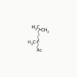 C=C(C)CCC/C=C(\C)CCC(C)=O